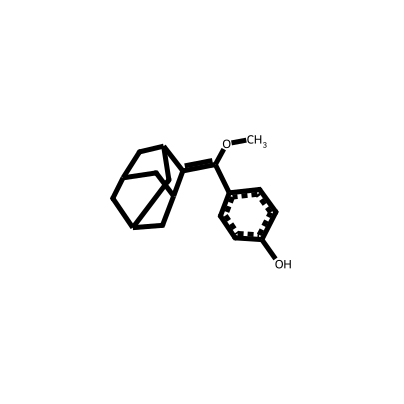 COC(=C1C2CC3CC(C2)CC1C3)c1ccc(O)cc1